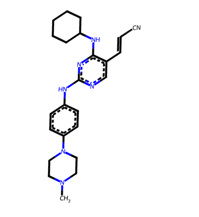 CN1CCN(c2ccc(Nc3ncc(/C=C/C#N)c(NC4CCCCC4)n3)cc2)CC1